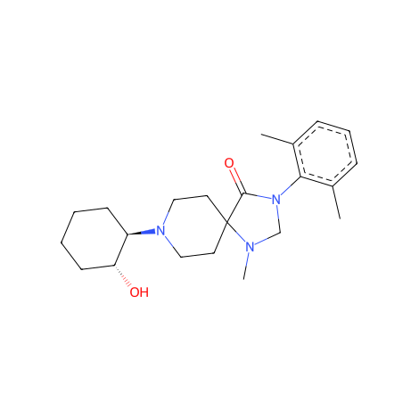 Cc1cccc(C)c1N1CN(C)C2(CCN([C@@H]3CCCC[C@H]3O)CC2)C1=O